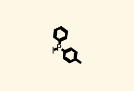 Cc1ccc(P(I)c2ccccc2)cc1